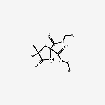 CCOC(=O)C1(C(=O)OCC)CC(C)(C)C(=O)N1